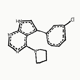 Clc1cccc(-c2c[nH]c3ncnc(N4CCC4)c23)c1